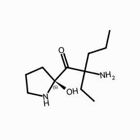 CCCC(N)(CC)C(=O)[C@@]1(O)CCCN1